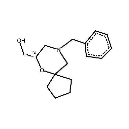 OC[C@@H]1CN(Cc2ccccc2)CC2(CCCC2)O1